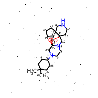 CC1(C)CCC(N2CCN(CC3(O)CCNCC34CCCC4)C(=O)C2)CC1